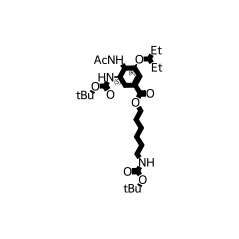 CCC(CC)O[C@@H]1C=C(C(=O)OCCCCCCNC(=O)OC(C)(C)C)C[C@H](NC(=O)OC(C)(C)C)C1NC(C)=O